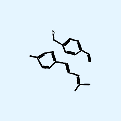 C=Cc1ccc(CBr)cc1.CC(C)=CC=Cc1ccc(C)cc1